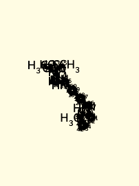 COC(=O)N[C@H](C(=O)N1CCCC1c1ncc(-c2ccc(-c3ccc(-c4cnc([C@H]5C6CCC(C6)[C@@H]5C(=O)N(C)c5ccccn5)[nH]4)cc3)cc2)[nH]1)[C@@H](C)OC